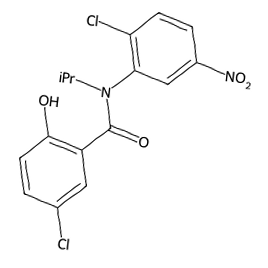 CC(C)N(C(=O)c1cc(Cl)ccc1O)c1cc([N+](=O)[O-])ccc1Cl